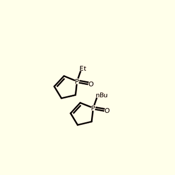 CCCCP1(=O)C=CCC1.CCP1(=O)C=CCC1